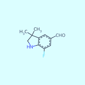 CC1(C)CNc2c(F)cc(C=O)cc21